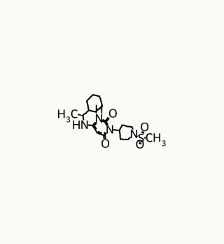 C[C@H](Nc1cc(=O)n(C2CCN(S(C)(=O)=O)CC2)c(=O)[nH]1)C1CCCCC1